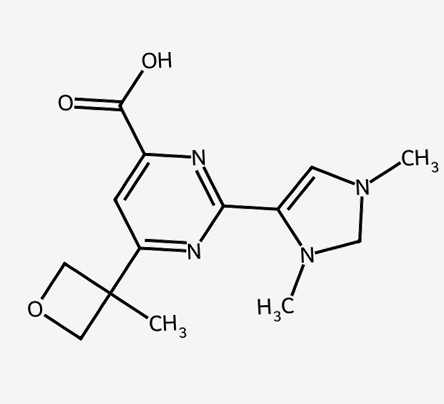 CN1C=C(c2nc(C(=O)O)cc(C3(C)COC3)n2)N(C)C1